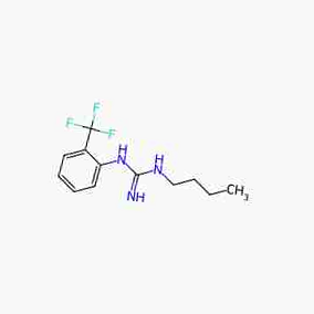 CCCCNC(=N)Nc1ccccc1C(F)(F)F